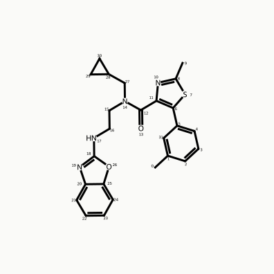 Cc1cccc(-c2sc(C)nc2C(=O)N(CCNc2nc3ccccc3o2)CC2CC2)c1